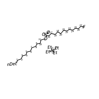 CCCCCCCCCCCCCCCCCCCCCOS(=O)(=O)CCCCCCCCCCCCF.CC[N+](CC)(CC)CC